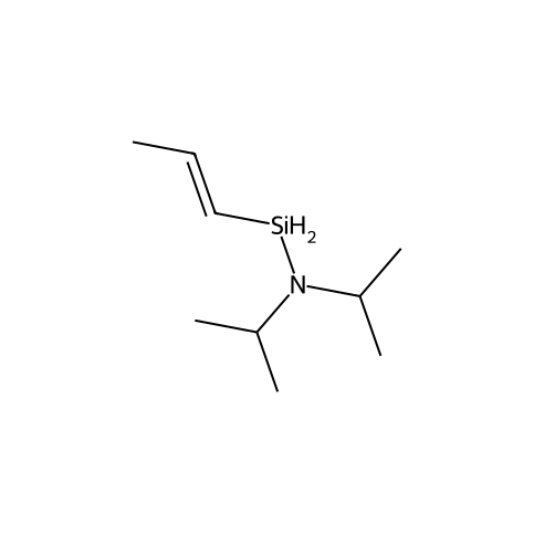 CC=C[SiH2]N(C(C)C)C(C)C